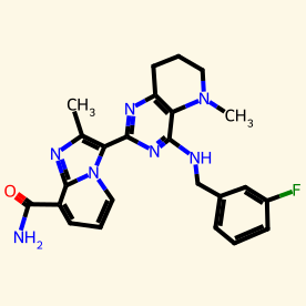 Cc1nc2c(C(N)=O)cccn2c1-c1nc2c(c(NCc3cccc(F)c3)n1)N(C)CCC2